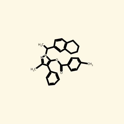 Cc1ccc(C(=O)Oc2c(-c3ccccc3)c(C)nn2C(C)c2ccc3c(c2)CCCC3)cc1